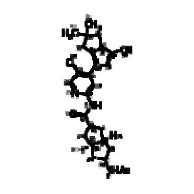 CC(=O)N[C@@H]1C[C@@H]2C[C@H](C(=O)Nc3cc(-c4cc(C#N)n5c4CC(C)(C)C5)c(Cl)cn3)C[C@@H]2C1